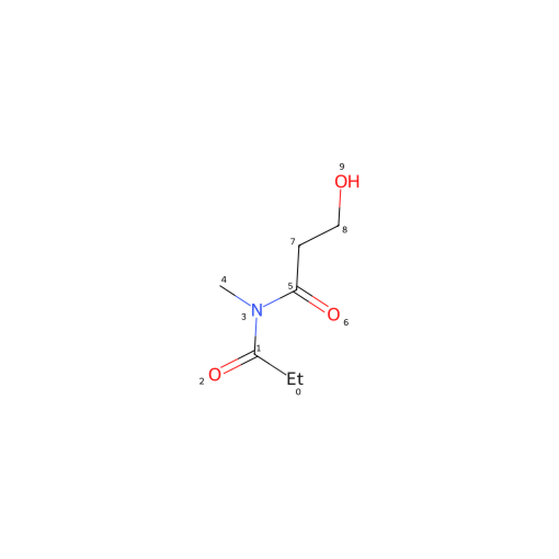 CCC(=O)N(C)C(=O)CCO